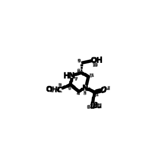 CC(C)(C)C(=O)N1CC(C=O)N[C@H](CO)C1